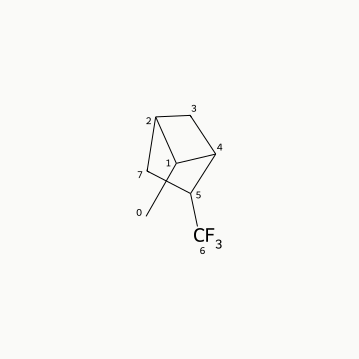 CC1C2CC1C(C(F)(F)F)C2